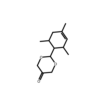 CC1=CC(C)C(C2OCC(=O)CO2)C(C)C1